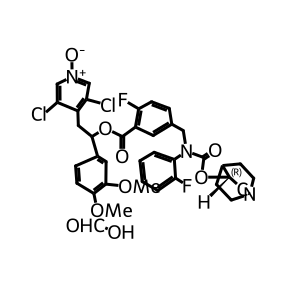 COc1ccc(C(Cc2c(Cl)c[n+]([O-])cc2Cl)OC(=O)c2cc(CN(C(=O)O[C@H]3CN4CCC3CC4)c3ccccc3F)ccc2F)cc1OC.O=CO